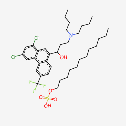 CCCCCCCCCCCCOS(=O)(=O)O.CCCCN(CCCC)CCC(O)c1cc2c(Cl)cc(Cl)cc2c2cc(C(F)(F)F)ccc12